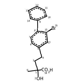 CC(O)(CCc1ccc(-c2ccccc2)c(Br)c1)C(=O)O